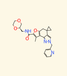 Cc1c(C(=O)NC[C@@H]2COCCO2)oc2c1-c1nn(Cc3ccccn3)cc1C1(CC1)C2